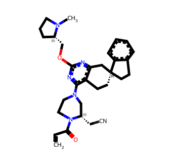 C=CC(=O)N1CCN(c2nc(OC[C@@H]3CCCN3C)nc3c2CC[C@]2(CCc4ccccc42)C3)C[C@@H]1CC#N